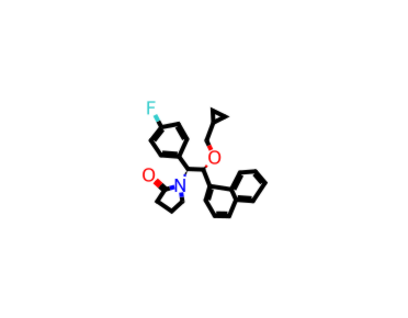 O=C1CCCN1[C@H](c1ccc(F)cc1)[C@H](OCC1CC1)c1cccc2ccccc12